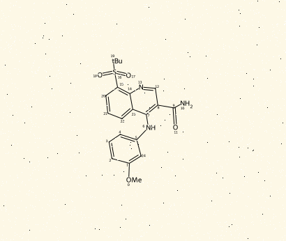 COc1cccc(Nc2c(C(N)=O)cnc3c(S(=O)(=O)C(C)(C)C)cccc23)c1